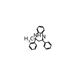 CC1(c2ccccc2)CC(c2ccccc2)=Nc2ccccc2N1